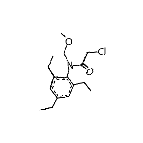 CCc1cc(CC)c(N(COC)C(=O)CCl)c(CC)c1